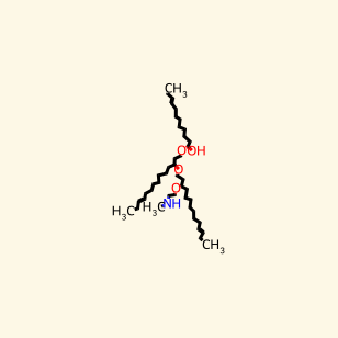 CC/C=C/CCCCCCCC(O)OCCC(CCCCCCC/C=C/CC)OCCC(CCCCCCC/C=C/CC)OCCNC